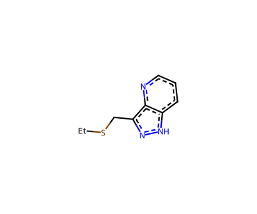 CCSCc1n[nH]c2cccnc12